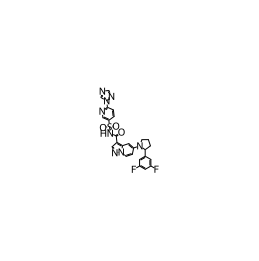 O=C(NS(=O)(=O)c1ccc(-n2cncn2)nc1)c1cnn2ccc(N3CCCC3c3cc(F)cc(F)c3)cc12